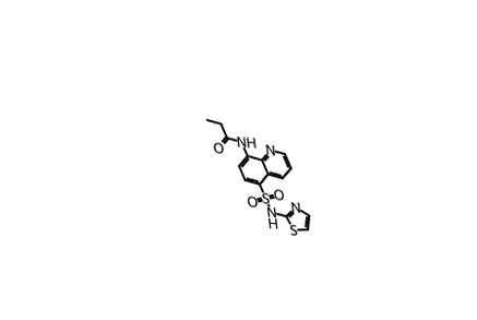 CCC(=O)Nc1ccc(S(=O)(=O)Nc2nccs2)c2cccnc12